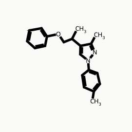 Cc1ccc(-n2cc(C(C)COc3c[c]ccc3)c(C)n2)cc1